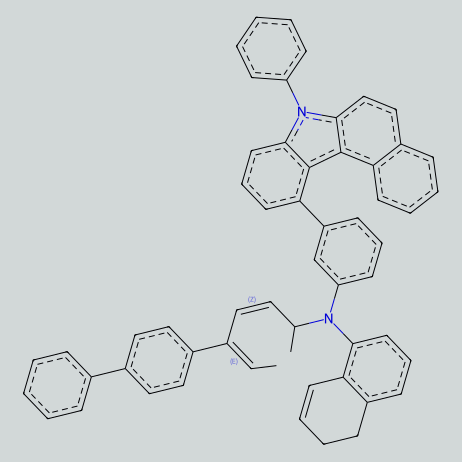 C/C=C(\C=C/C(C)N(c1cccc(-c2cccc3c2c2c4ccccc4ccc2n3-c2ccccc2)c1)c1cccc2c1C=CCC2)c1ccc(-c2ccccc2)cc1